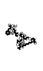 CC[C@H](C)[C@@H]([C@@H](CC(=O)N1CCC([C@H](OC)[C@@H](C)C(=O)NC(Cc2ccccc2)C(=O)O)C1)OC)N(C)C(=O)C(NC(=O)C(C(C)C)N(C)C(=O)CCCCCN1C(=O)C=CC1=O)C(C)C